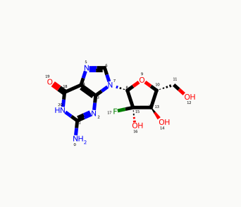 Nc1nc2c(ncn2[C@@H]2O[C@H](CO)[C@@H](O)[C@@]2(O)F)c(=O)[nH]1